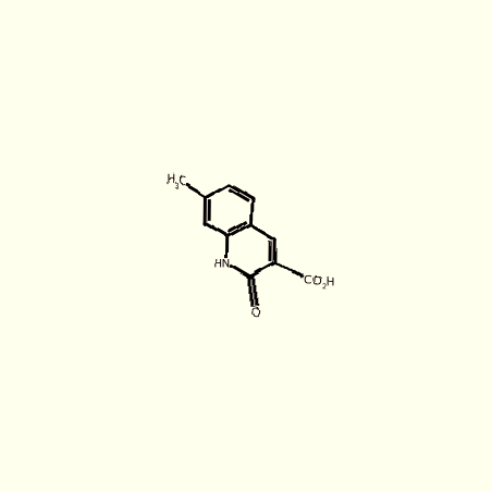 Cc1ccc2cc(C(=O)O)c(=O)[nH]c2c1